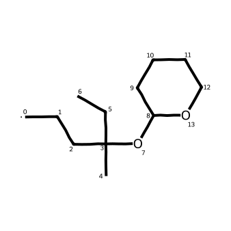 [CH2]CCC(C)(CC)OC1CCCCO1